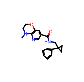 CN1CCOc2cc(C(=O)NCC3(c4ccccc4)CC3)cnc21